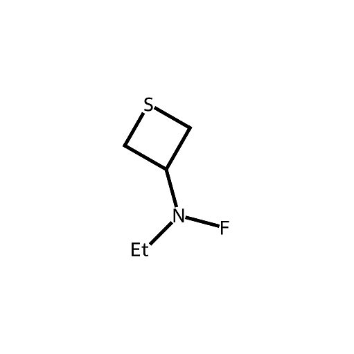 CCN(F)C1CSC1